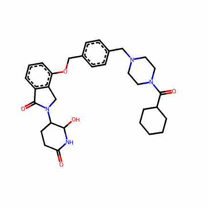 O=C1CCC(N2Cc3c(OCc4ccc(CN5CCN(C(=O)C6CCCCC6)CC5)cc4)cccc3C2=O)C(O)N1